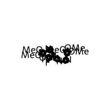 COc1cc(-c2cc(CN3CCC(N(Cc4ccnc(-c5cc(OC)c(OC)c(OC)c5)c4)c4ccc(F)c(F)c4)CC3)ccn2)cc(OC)c1OC